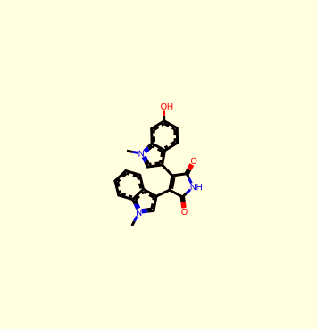 Cn1cc(C2=C(c3cn(C)c4cc(O)ccc34)C(=O)NC2=O)c2ccccc21